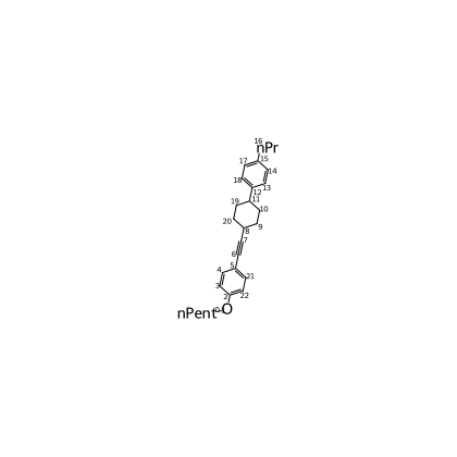 CCCCCOc1ccc(C#CC2CCC(c3ccc(CCC)cc3)CC2)cc1